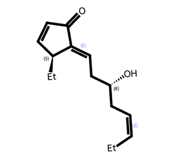 CC/C=C\C[C@@H](O)C/C=C1/C(=O)C=C[C@@H]1CC